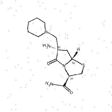 NC(=O)[C@@H]1CS[C@H]2C[C@](N)(CN3CCCCC3)C(=O)N21